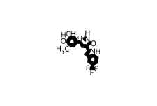 Cc1cc(-c2cc(-c3cc4cc(C(F)(F)F)ccc4[nH]3)c(=O)[nH]n2)cc(C)c1O